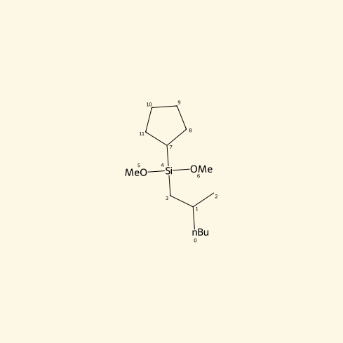 CCCCC(C)C[Si](OC)(OC)C1CCCC1